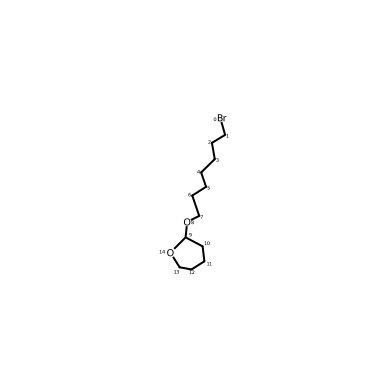 BrCCCCCCCOC1CCCCO1